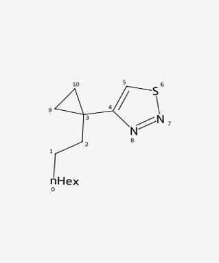 CCCCCCCCC1(c2csnn2)CC1